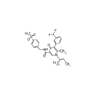 CCC(C)n1cc(C(=O)NCc2ccc(S(C)(=O)=O)cc2)c(=O)c(-c2cccc(C(F)F)c2)c1C